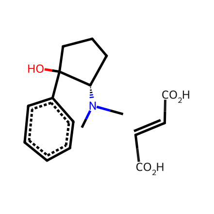 CN(C)[C@H]1CCCC1(O)c1ccccc1.O=C(O)/C=C/C(=O)O